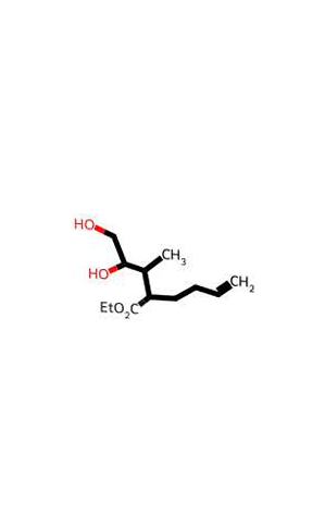 C=CCCC(C(=O)OCC)C(C)C(O)CO